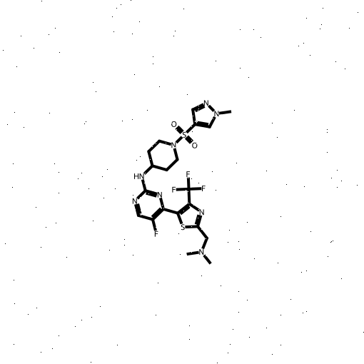 CN(C)Cc1nc(C(F)(F)F)c(-c2nc(NC3CCN(S(=O)(=O)c4cnn(C)c4)CC3)ncc2F)s1